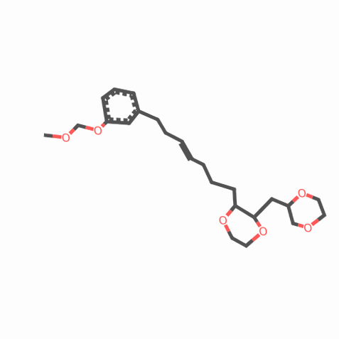 COCOc1cccc(CCC=CCCCC2OCCOC2CC2COCCO2)c1